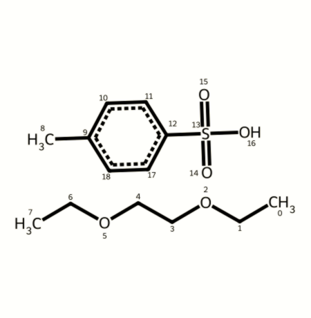 CCOCCOCC.Cc1ccc(S(=O)(=O)O)cc1